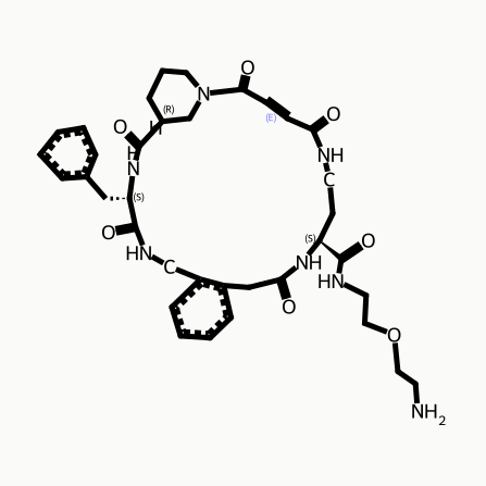 NCCOCCNC(=O)[C@@H]1CCNC(=O)/C=C/C(=O)N2CCC[C@H](C2)C(=O)N[C@@H](Cc2ccccc2)C(=O)NCc2ccccc2CC(=O)N1